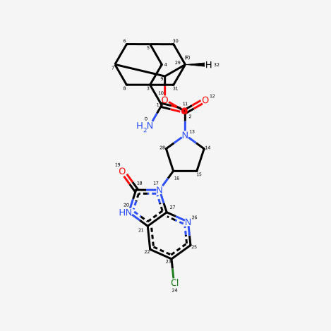 NC(=O)C12CC3CC(C1)C(OC(=O)N1CCC(n4c(=O)[nH]c5cc(Cl)cnc54)C1)[C@H](C3)C2